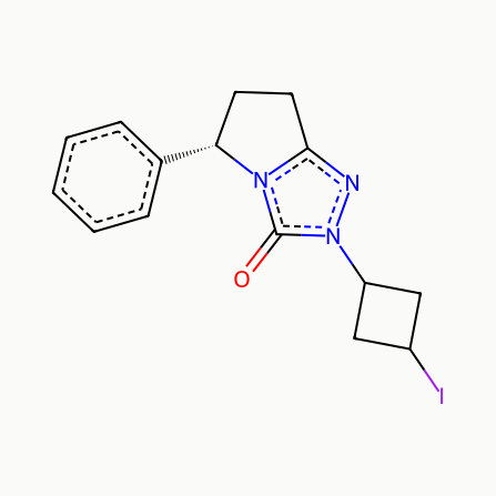 O=c1n(C2CC(I)C2)nc2n1[C@H](c1ccccc1)CC2